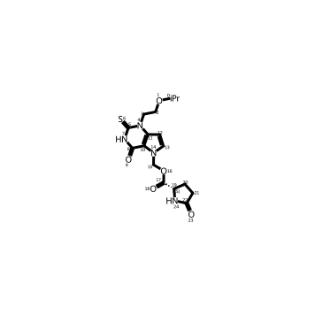 CC(C)OCCn1c(=S)[nH]c(=O)c2c1ccn2COC(=O)[C@@H]1CCC(=O)N1